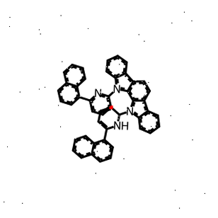 C1=CC(n2c3ccccc3c3ccc4c5ccccc5n(-c5cccc(-c6cccc7ccccc67)n5)c4c32)NC(c2cccc3ccccc23)=C1